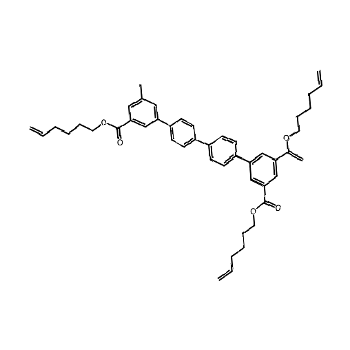 C=CCCCCOC(=C)c1cc(C(=O)OCCCCC=C)cc(-c2ccc(-c3ccc(-c4cc(C)cc(C(=O)OCCCCC=C)c4)cc3)cc2)c1